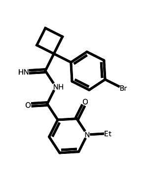 CCn1cccc(C(=O)NC(=N)C2(c3ccc(Br)cc3)CCC2)c1=O